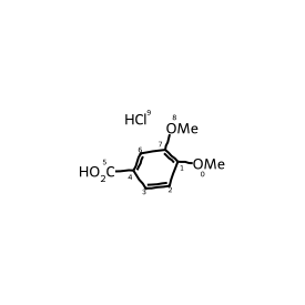 COc1ccc(C(=O)O)cc1OC.Cl